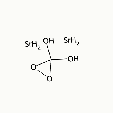 OC1(O)OO1.[SrH2].[SrH2]